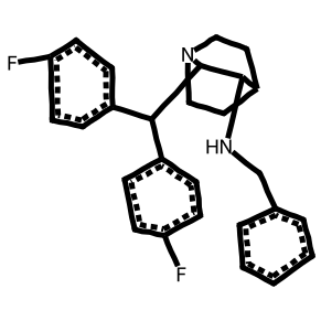 Fc1ccc(C(c2ccc(F)cc2)C2C(NCc3ccccc3)C3CCN2CC3)cc1